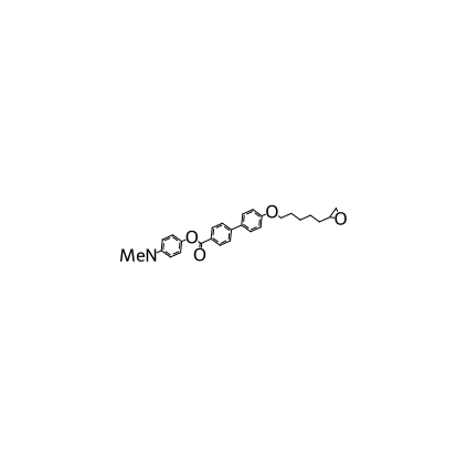 CNc1ccc(OC(=O)c2ccc(-c3ccc(OCCCCCC4CO4)cc3)cc2)cc1